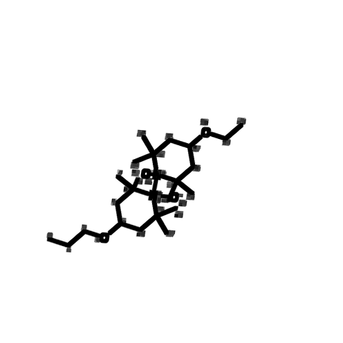 CCCOC1CC(C)(C)[N+]([O-])([N+]2([O-])C(C)(C)CC(OCC)CC2(C)C)C(C)(C)C1